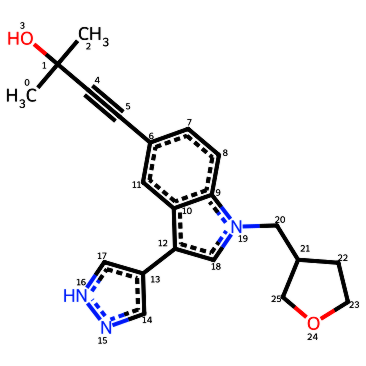 CC(C)(O)C#Cc1ccc2c(c1)c(-c1cn[nH]c1)cn2CC1CCOC1